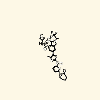 Cc1nc(Nc2cccc(N3CCCCC3=O)n2)sc1-c1cc2c(c(S(=O)(=O)NC3COC3)c1)C(=O)N(C(C)C(F)(F)F)C2